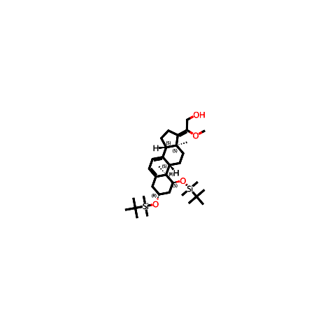 COC(CO)=C1CC[C@H]2C3=CC=C4C[C@@H](O[Si](C)(C)C(C)(C)C)C[C@H](O[Si](C)(C)C(C)(C)C)[C@]4(C)[C@H]3CC[C@]12C